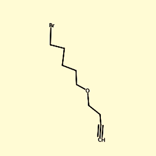 C#CCCOCCCCCBr